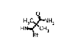 CCC(=N)C(C)(C)C(N)=O